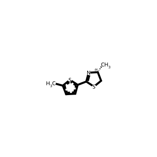 Cc1ccc(C2=N[C@H](C)CS2)s1